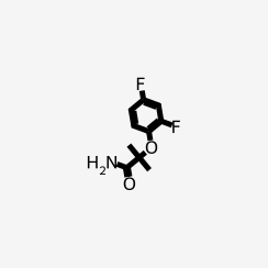 CC(C)(Oc1ccc(F)cc1F)C(N)=O